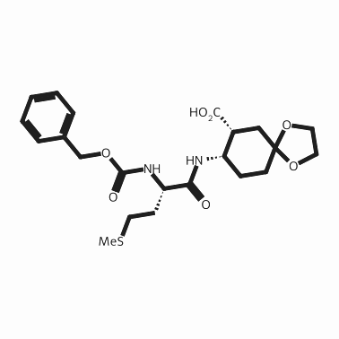 CSCC[C@H](NC(=O)OCc1ccccc1)C(=O)N[C@H]1CCC2(C[C@H]1C(=O)O)OCCO2